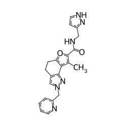 Cc1c(C(=O)NCc2cc[nH]n2)oc2c1-c1nn(Cc3ccccn3)cc1CC2